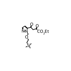 CCOC(=O)C(=O)CC(=O)c1ccnn1COCC[Si](C)(C)C